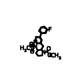 COC(=O)N1CCCC(NS(C)(=O)=O)C1Cc1cccc(-c2cccc(F)c2)c1